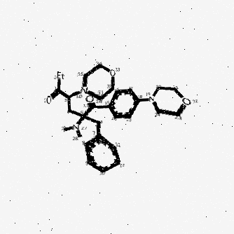 CCC(=O)C(CC(Cc1ccccc1)(C(=O)c1ccc(N2CCOCC2)cc1)N(C)C)N1CCOCC1